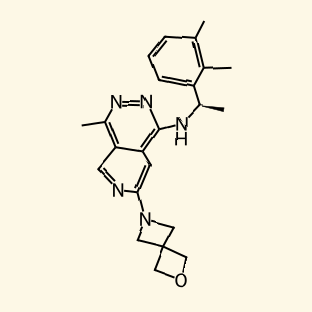 Cc1cccc([C@@H](C)Nc2nnc(C)c3cnc(N4CC5(COC5)C4)cc23)c1C